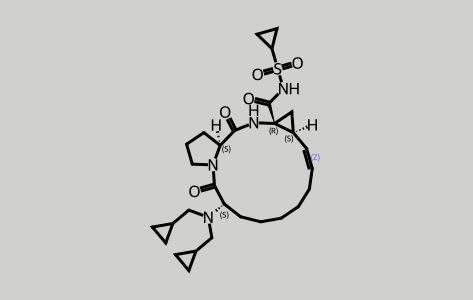 O=C1N[C@]2(C(=O)NS(=O)(=O)C3CC3)C[C@H]2/C=C\CCCCC[C@H](N(CC2CC2)CC2CC2)C(=O)N2CCC[C@@H]12